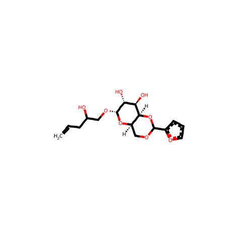 C=CCC(O)CO[C@H]1O[C@@H]2COC(c3ccco3)O[C@@H]2[C@H](O)[C@H]1O